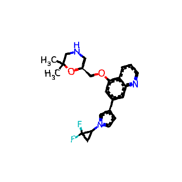 CC1(C)CNC[C@@H](COc2cc(-c3ccn(C4CC4(F)F)c3)cc3ncccc23)O1